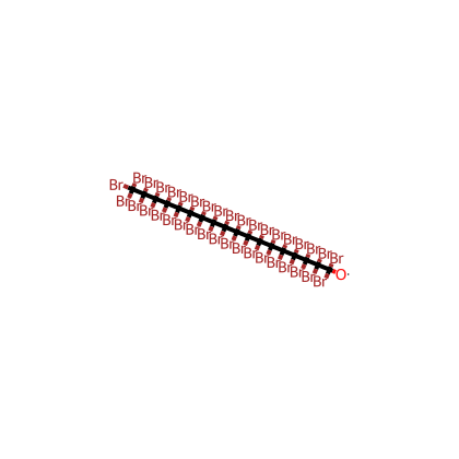 [O]C(Br)(Br)C(Br)(Br)C(Br)(Br)C(Br)(Br)C(Br)(Br)C(Br)(Br)C(Br)(Br)C(Br)(Br)C(Br)(Br)C(Br)(Br)C(Br)(Br)C(Br)(Br)C(Br)(Br)C(Br)(Br)C(Br)(Br)C(Br)(Br)C(Br)(Br)C(Br)(Br)Br